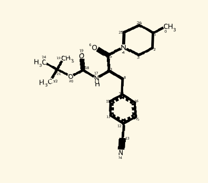 CC1CCN(C(=O)C(Cc2ccc(C#N)cc2)NC(=O)OC(C)(C)C)CC1